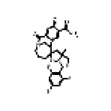 CC1(CF)CC2(CCCN3CC2n2cc(C(N)=O)c(=O)cc2C3=O)ON1Cc1c(F)cc(F)cc1F